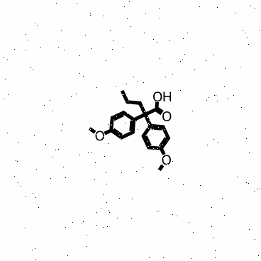 CCCC(C(=O)O)(c1ccc(OC)cc1)c1ccc(OC)cc1